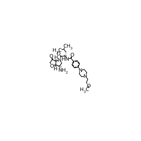 COCCN1CCN(c2ccc(C(=O)N[C@@H](CC(C)C)C(=O)N3C[C@H](N)[C@H]4OCC(=O)[C@H]43)cc2)CC1